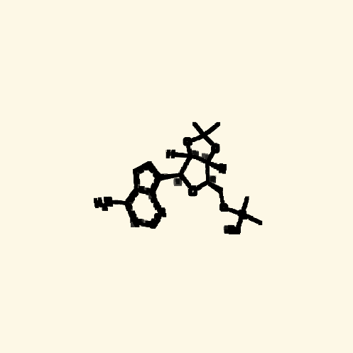 CC1(C)O[C@@H]2[C@H](O1)[C@@H](CO[Si](C)(C)C(C)(C)C)O[C@H]2c1ccc2c(N)ncnn12